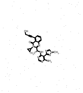 C[C@H](Nc1ncnc(N)c1-c1ncn(C)n1)c1nc2cccc(C#CCO)c2c(=O)n1C1CC1